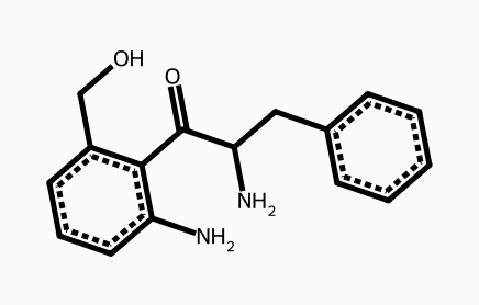 Nc1cccc(CO)c1C(=O)C(N)Cc1ccccc1